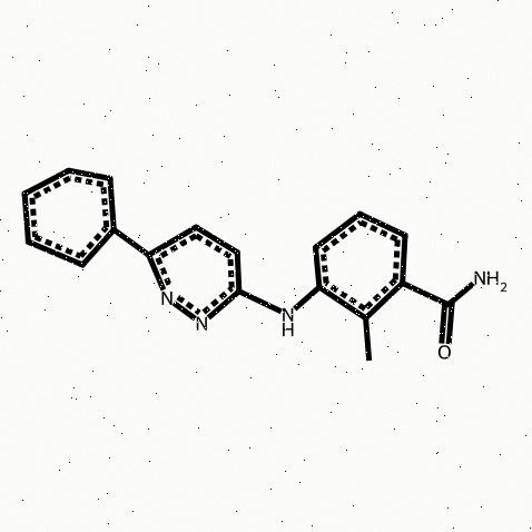 Cc1c(Nc2ccc(-c3ccccc3)nn2)cccc1C(N)=O